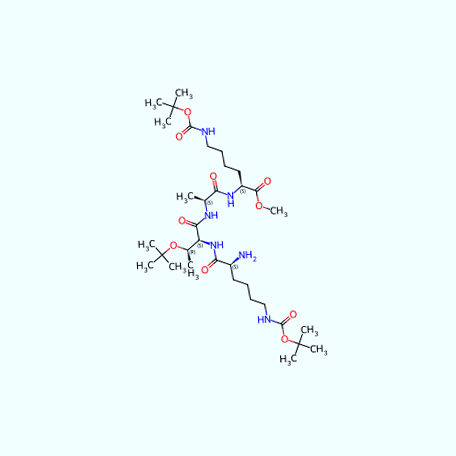 COC(=O)[C@H](CCCCNC(=O)OC(C)(C)C)NC(=O)[C@H](C)NC(=O)[C@@H](NC(=O)[C@@H](N)CCCCNC(=O)OC(C)(C)C)[C@@H](C)OC(C)(C)C